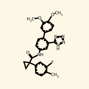 COc1ccc(-c2ccc(NC(=O)C3(c4ccc(C)c(F)c4)CC3)cc2-c2nnn[nH]2)cc1OC